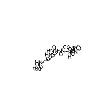 CC(C)(C)OC(=O)NCCCOCc1cc2c([nH]1)NC(=O)N(CC(=O)N(CCNS(=O)(=O)c1nc3ccccc3s1)CC(=O)O)C2